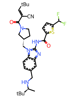 C[C@H](NCc1ccc2c(c1)nc(NC(=O)c1ccc(C(F)F)s1)n2C[C@H]1CCN(C(=O)/C(C#N)=C/C(C)(C)C)C1)C(C)(C)C